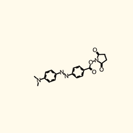 CN(C)c1ccc(N=Nc2ccc(C(=O)ON3C(=O)CCC3=O)cc2)cc1